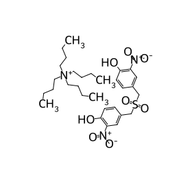 CCCC[N+](CCCC)(CCCC)CCCC.O=[N+]([O-])c1cc(CS(=O)(=O)Cc2ccc(O)c([N+](=O)[O-])c2)ccc1O